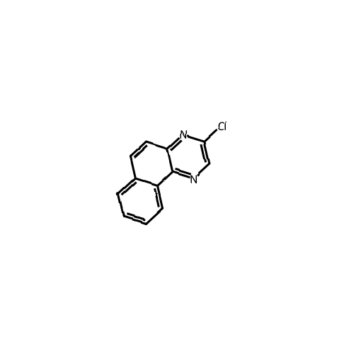 Clc1cnc2c(ccc3ccccc32)n1